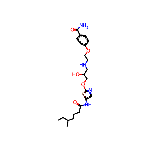 CCC(C)CCCC(=O)Nc1cnc(OCC(O)CNCCOc2ccc(C(N)=O)cc2)s1